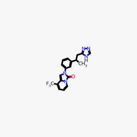 CC(Cc1nnc[nH]1)c1cccc(-n2cc3c(C(F)(F)F)cccn3c2=O)c1